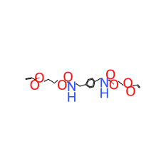 C=CC(=O)OCCCCOC(=O)NCCc1ccc(CNC(=O)OCCOC(=O)C=C)cc1